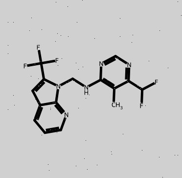 Cc1c(NCn2c(C(F)(F)F)cc3cccnc32)ncnc1C(F)F